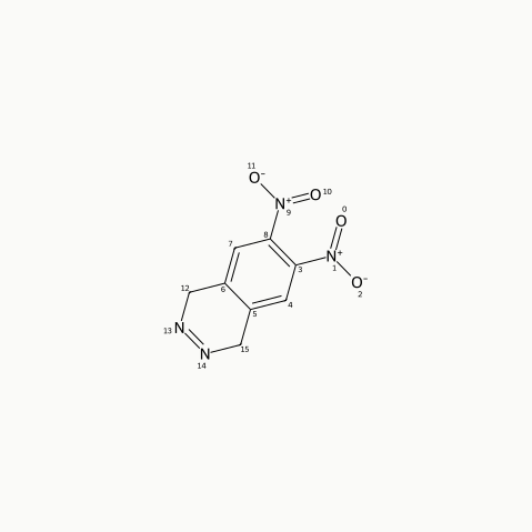 O=[N+]([O-])c1cc2c(cc1[N+](=O)[O-])CN=NC2